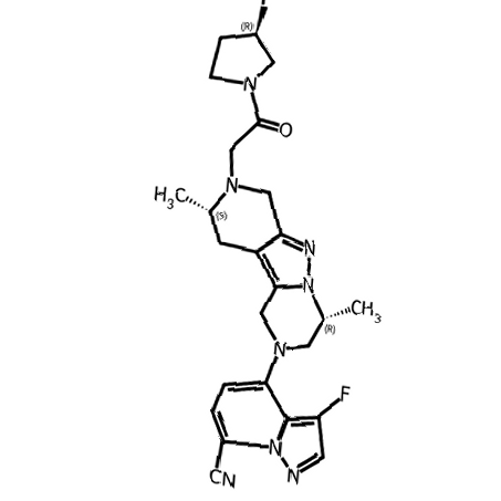 C[C@@H]1CN(c2ccc(C#N)n3ncc(F)c23)Cc2c3c(nn21)CN(CC(=O)N1CC[C@@H](F)C1)[C@@H](C)C3